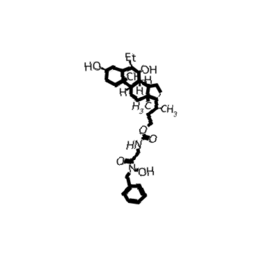 CC[C@@H]1C2C[C@H](O)CCC2(C)[C@H]2CCC3(C)[C@@H]([C@H](C)CCOC(=O)NCC(=O)N(O)Cc4ccccc4)CC[C@H]3[C@H]2[C@@H]1O